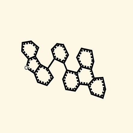 c1ccc(-c2cccc3c4ccccc4c4ccccc4c23)c(-c2cccc3oc4ccccc4c23)c1